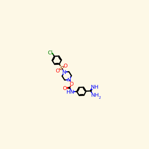 N=C(N)c1ccc(NC(=O)ON2CCN(S(=O)(=O)c3ccc(Cl)cc3)CC2)cc1